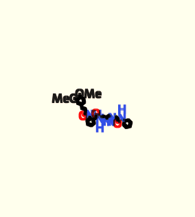 COC1C=CC(/C=C/C(=O)Nc2ccccc2C(=O)NCc2cn(CC(=O)NC3C=CC=CC3)nn2)=CC1OC